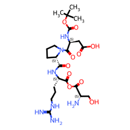 CC(C)(C)OC(=O)N[C@@H](CC(=O)O)C(=O)N1CCC[C@H]1C(=O)N[C@@H](CCCNC(=N)N)C(=O)OC(=O)[C@@H](N)CO